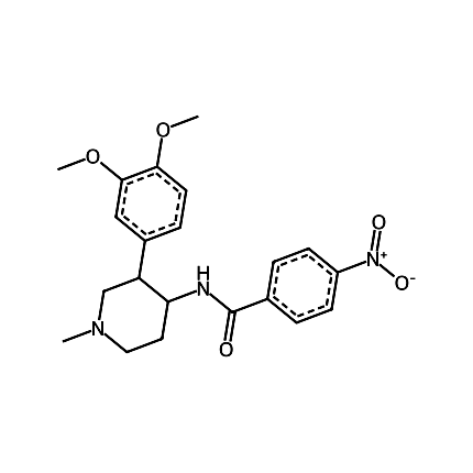 COc1ccc(C2CN(C)CCC2NC(=O)c2ccc([N+](=O)[O-])cc2)cc1OC